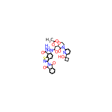 CC(=O)OC(C(=O)Nc1ccc2c(N3C(=O)c4ccccc4C3=O)nsc2c1C(N)=O)C1OCCN(c2cccc(C3(O)CCC3)n2)C1=O